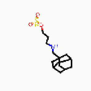 O=[SH](=O)OCCCNCC12CC3CC(CC(C3)C1)C2